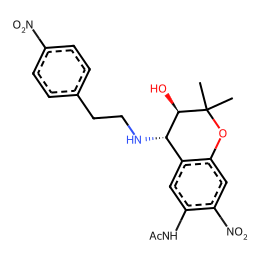 CC(=O)Nc1cc2c(cc1[N+](=O)[O-])OC(C)(C)[C@H](O)[C@H]2NCCc1ccc([N+](=O)[O-])cc1